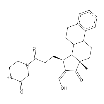 C[C@]12CCC3c4ccccc4CCC3C1[C@H](CCC(=O)N1CCNC(=O)C1)/C(=C/O)C2=O